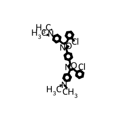 CCN(CC)c1ccc(-c2nc(-c3ccc(-c4nc(-c5ccc(N(CC)CC)cc5)c(-c5ccccc5Cl)o4)cc3)oc2-c2ccccc2Cl)cc1